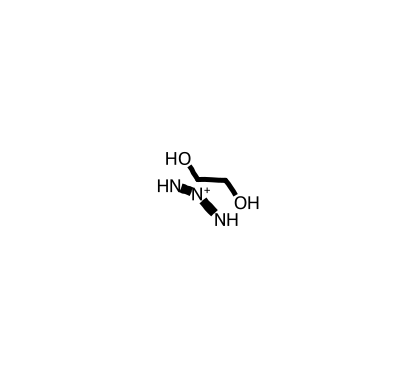 N=[N+]=N.OCCO